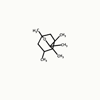 CC1CC2(C)CCC1(C)C(C)(C)O2